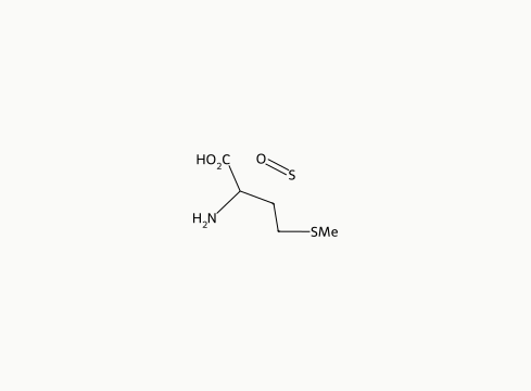 CSCCC(N)C(=O)O.O=S